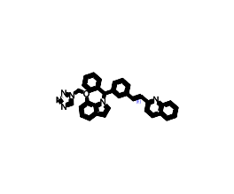 C(=C\c1ccc2ccccc2n1)/c1cccc(C(c2ccccc2)n2ccc3cccc(OCn4cnnn4)c32)c1